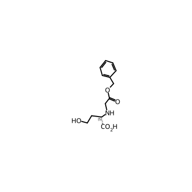 O=C(CN[C@@H](CCO)C(=O)O)OCc1ccccc1